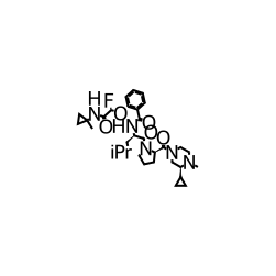 CC(C)C[C@@H](NC(=O)c1ccccc1O[C@@H](F)C(=O)NC1(C)CC1)C(=O)N1CCC[C@@H]1C(=O)N1CCN(C)[C@@H](C2CC2)C1